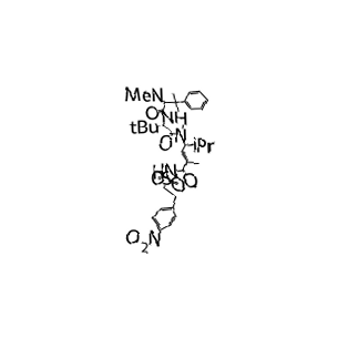 CN[C@H](C(=O)N[C@H](C(=O)N(C)[C@H](C=C(C)C(=O)NS(=O)(=O)CCc1ccc([N+](=O)[O-])cc1)C(C)C)C(C)(C)C)C(C)(C)c1ccccc1